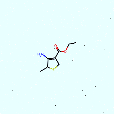 CCOC(=O)C1=C(N)C(C)SC1